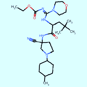 CCOC(=O)/N=C(\NC(CC(C)(C)C)C(=O)NC1(C#N)CCN(C2CCC(C)CC2)C1)N1CCOCC1